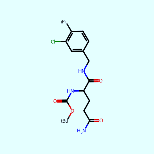 CC(C)c1ccc(CNC(=O)C(CCC(N)=O)NC(=O)OC(C)(C)C)cc1Cl